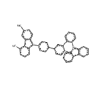 N#Cc1ccc2c(c1)c1c(C#N)cccc1n2-c1ccc(-c2ccc(C#N)c(-c3ccccc3-n3c4ccccc4c4ccccc43)c2)cc1